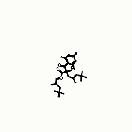 Cc1cc(C)c(C(=O)C(CC(C)CC(C)(C)C)(P=O)C(=O)OCC(C)CC(C)(C)C)c(C)c1